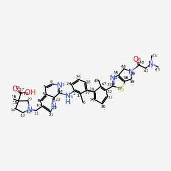 Cc1c(Nc2nccc3cc(CN4CCC(C)(C(=O)O)C4)cnc23)cccc1-c1cccc(-c2nc3c(s2)CN(C(=O)CN(C)C)C3)c1C